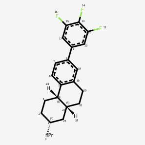 CCC[C@@H]1CC[C@@H]2c3ccc(-c4cc(F)c(F)c(F)c4)cc3CC[C@@H]2C1